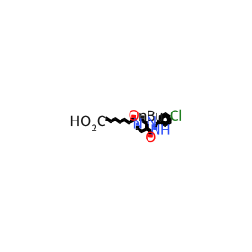 CCCCC1c2nc(-c3ccc(Cl)cc3)[nH]c(=O)c2CCN1C(=O)CCCCCCC(=O)O